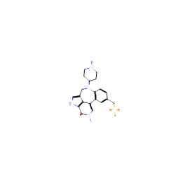 CN1CCC(N2Cc3c[nH]c4c(=O)n(C)cc(c34)-c3cc(CS(C)(=O)=O)ccc32)CC1